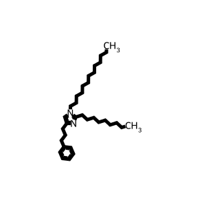 CCCCCCCCCCCCCn1cc(CCCc2ccccc2)nc1CCCCCCCCC